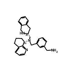 NCc1cccc(CN(C[C@H]2Cc3ccccc3CN2)[C@H]2CCCc3cccnc32)c1